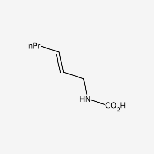 CCCC=CCNC(=O)O